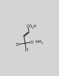 O=C(O)/C=C/C(Cl)(Cl)Cl.[InH3]